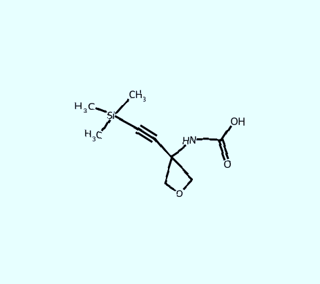 C[Si](C)(C)C#CC1(NC(=O)O)COC1